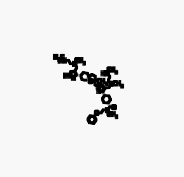 CNCCN(C)Cc1c[nH]nc1[C@H]1CC[C@@]2(CCC(C)(Cn3cc(CN(C)CCNC)c([C@H]4CC[C@@H](C(=O)N(C)CCOc5ccccc5)CC4)n3)O2)CC1